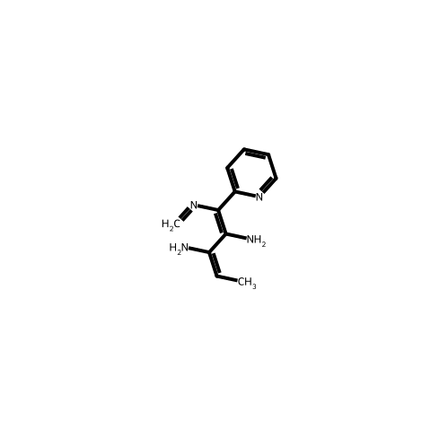 C=N/C(=C(N)\C(N)=C/C)c1ccccn1